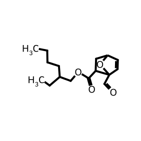 CCCCC(CC)COC(=O)C1CC2C=CC1(C=O)O2